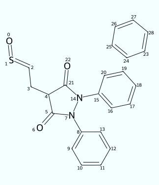 O=S=CCC1C(=O)N(c2ccccc2)N(c2ccccc2)C1=O.c1ccccc1